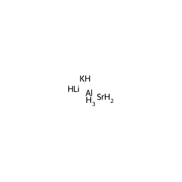 [AlH3].[KH].[LiH].[SrH2]